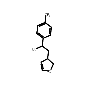 CCC(CC1CO[C]=N1)c1ccc(C(F)(F)F)cc1